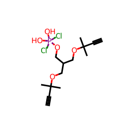 C#CC(C)(C)OCC(COC(C)(C)C#C)COP(O)(O)(Cl)Cl